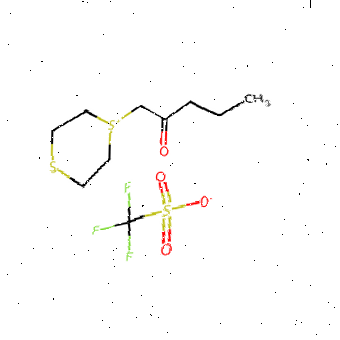 CCCC(=O)C[S+]1CCSCC1.O=S(=O)([O-])C(F)(F)F